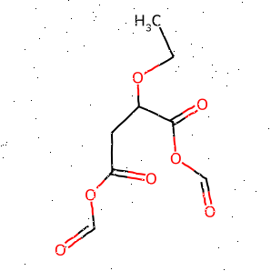 CCOC(CC(=O)OC=O)C(=O)OC=O